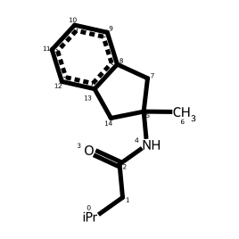 CC(C)CC(=O)NC1(C)Cc2ccccc2C1